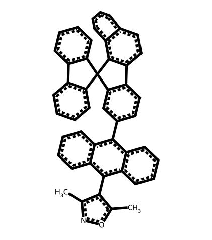 Cc1noc(C)c1-c1c2ccccc2c(-c2ccc3c(c2)C2(c4ccccc4-c4ccccc42)c2c-3ccc3ccccc23)c2ccccc12